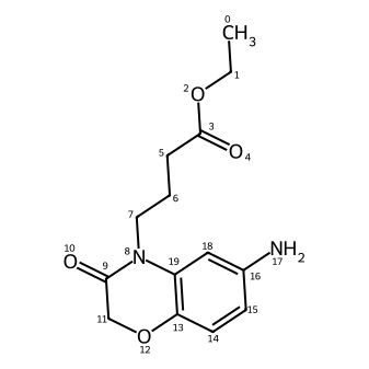 CCOC(=O)CCCN1C(=O)COc2ccc(N)cc21